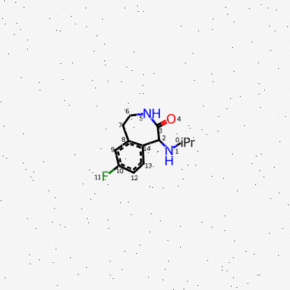 CC(C)NC1C(=O)NCCc2cc(F)ccc21